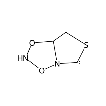 [C]1SCC2ONON12